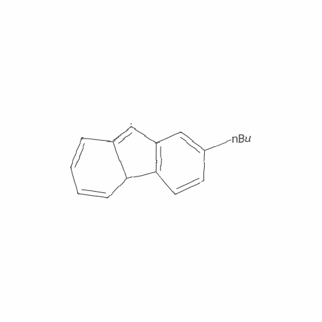 CCCCc1ccc2c(c1)[C]=C1C=CC=CC12